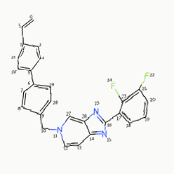 C=Cc1ccc(-c2ccc(Cn3ccc4nc(-c5cccc(F)c5F)nc-4c3)cc2)cc1